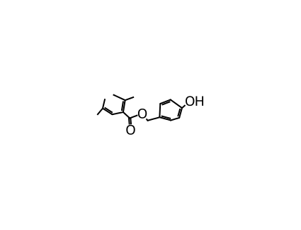 CC(C)=CC(C(=O)OCc1ccc(O)cc1)=C(C)C